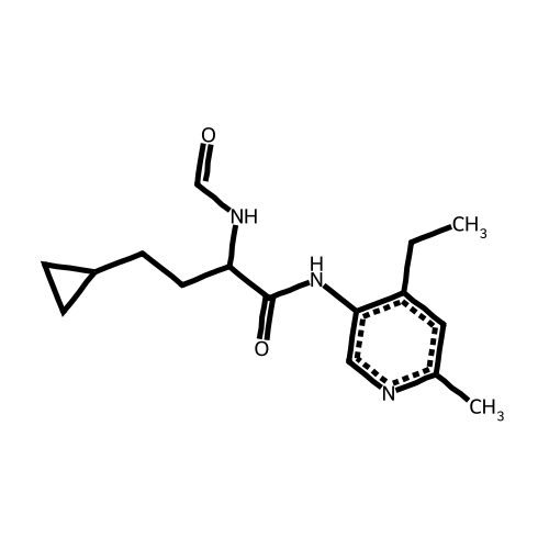 CCc1cc(C)ncc1NC(=O)C(CCC1CC1)NC=O